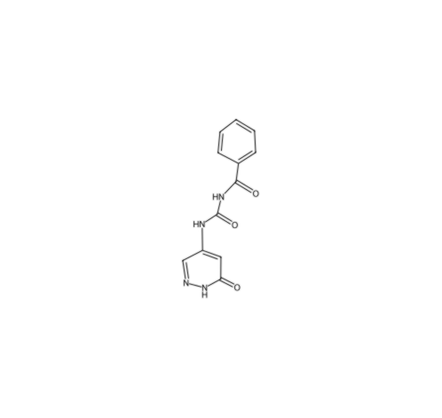 O=C(NC(=O)c1ccccc1)Nc1cn[nH]c(=O)c1